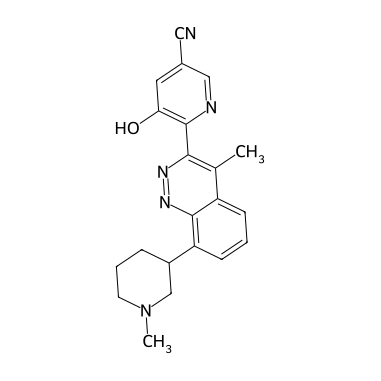 Cc1c(-c2ncc(C#N)cc2O)nnc2c(C3CCCN(C)C3)cccc12